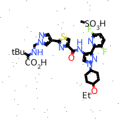 CCOC1CCC(n2cc(NC(=O)c3csc(-c4cnn(CNC(C(=O)O)C(C)(C)C)c4)n3)c(-c3nc(F)ccc3F)n2)CC1.CS(=O)(=O)O